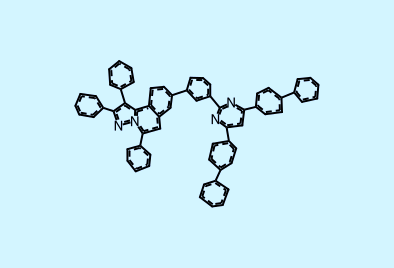 c1ccc(-c2ccc(-c3cc(-c4ccc(-c5ccccc5)cc4)nc(-c4cccc(-c5ccc6c(c5)cc(-c5ccccc5)n5nc(-c7ccccc7)c(-c7ccccc7)c65)c4)n3)cc2)cc1